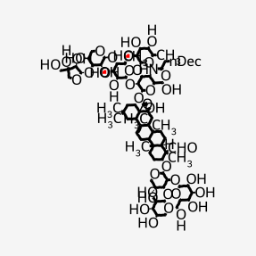 CCCCCCCCCCCC(=O)N[C@H]1C(CO)O[C@@H](OC(=O)[C@]23CCC(C)(C)CC2C2=CCC4C5(C)CC[C@H](O[C@@H]6OC[C@@H](O)[C@H](O[C@@H]7OC[C@@H](O)[C@H](O)C7O)C6O[C@@H]6OC(CO)[C@H](O)[C@H](O)C6O)[C@](C)(C=O)[C@@H]5CC[C@]4(C)[C@]2(C)CC3O)[C@H](O[C@@H]2OC(C)[C@H](O[C@@H]3OC[C@@H](O)C(O[C@@H]4OCC(O)(CO)[C@@H]4O)[C@H]3O)C(O)[C@@H]2O)C1O[C@@H]1OC(C)[C@H](O)[C@H](O)C1O